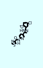 COc1ccc(Cl)cc1-c1ncc(-c2ccc(NC(=O)c3cscn3)nc2)[nH]1